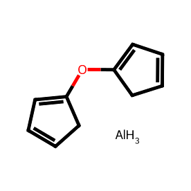 C1=CCC(OC2=CC=CC2)=C1.[AlH3]